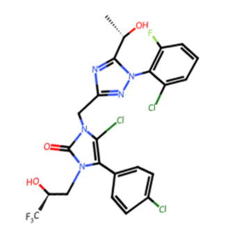 C[C@H](O)c1nc(Cn2c(Cl)c(-c3ccc(Cl)cc3)n(C[C@H](O)C(F)(F)F)c2=O)nn1-c1c(F)cccc1Cl